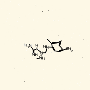 BC1=C/C=C(NCN(NC)NC(=N)N)\C(C)=C\C=C\1